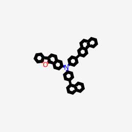 c1ccc2c(-c3ccc(N(c4ccc(-c5ccc6c(ccc7ccccc76)c5)cc4)c4ccc5c(ccc6c7ccccc7oc56)c4)cc3)cccc2c1